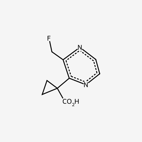 O=C(O)C1(c2nccnc2CF)CC1